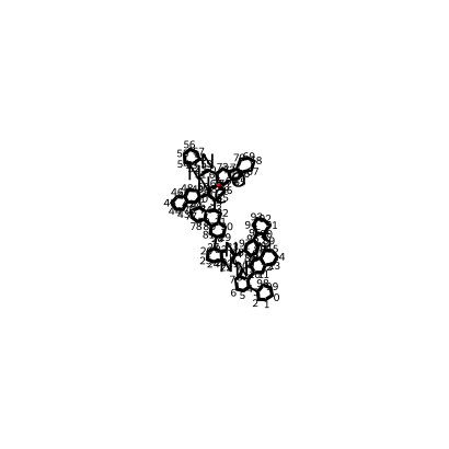 c1ccc(-c2cccc3c2c2cc4ccccc4cc2n3-c2nc3cccc(-c4ccc5cc(-c6cccc7c6c6cc8ccccc8cc6n7-c6nc7ccccc7nc6-c6ccc7oc8ccccc8c7c6)c6ccccc6c5c4)c3nc2-c2ccc3sc4ccccc4c3c2)cc1